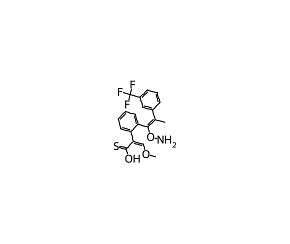 COC=C(C(O)=S)c1ccccc1C(ON)=C(C)c1cccc(C(F)(F)F)c1